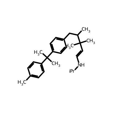 Cc1ccc(C(C)(C)c2ccc(CC(C)C(C)(C)C=CNC(C)C)cc2)cc1